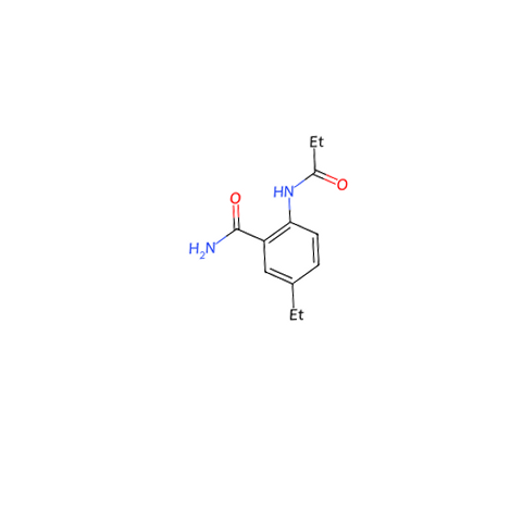 CCC(=O)Nc1ccc(CC)cc1C(N)=O